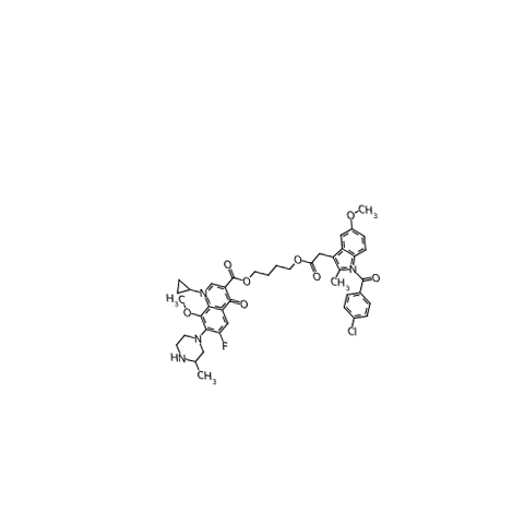 COc1ccc2c(c1)c(CC(=O)OCCCCOC(=O)c1cn(C3CC3)c3c(OC)c(N4CCNC(C)C4)c(F)cc3c1=O)c(C)n2C(=O)c1ccc(Cl)cc1